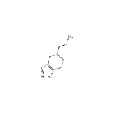 CC(C)(C)CCN1CCc2oncc2C1